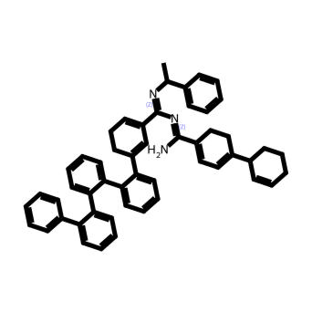 CC(/N=C(\N=C(/N)C1=CC=C(C2C=CCCC2)CC1)C1=CCCC(c2ccccc2-c2ccccc2-c2ccccc2-c2ccccc2)=C1)c1ccccc1